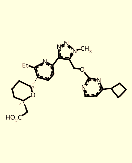 CCc1nc(-c2nnn(C)c2COc2nccc(C3CCC3)n2)ccc1[C@H]1CCC[C@H](CC(=O)O)O1